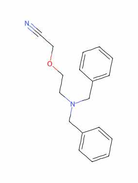 N#CCOCCN(Cc1ccccc1)Cc1ccccc1